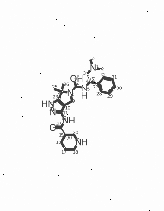 CN(C)C[C@@H](NC(O)N1Cc2c(NC(=O)[C@@H]3CCCNC3)n[nH]c2C1(C)C)c1ccccc1